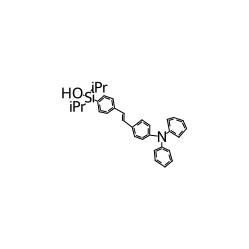 CC(C)[Si](O)(c1ccc(C=Cc2ccc(N(c3ccccc3)c3ccccc3)cc2)cc1)C(C)C